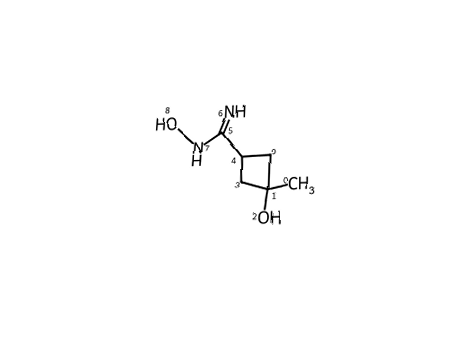 CC1(O)CC(C(=N)NO)C1